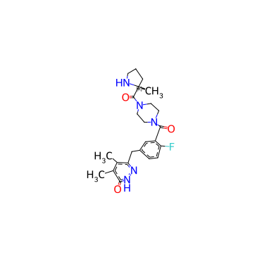 Cc1c(Cc2ccc(F)c(C(=O)N3CCN(C(=O)[C@@]4(C)CCCN4)CC3)c2)n[nH]c(=O)c1C